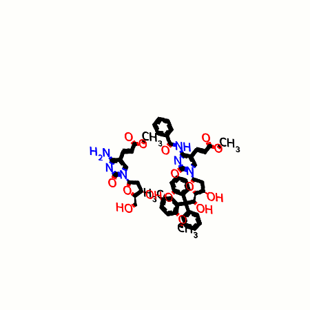 COC(=O)/C=C/c1cn([C@H]2C[C@H](O)[C@@H](C(O)C(c3ccccc3)(c3ccccc3OC)c3ccccc3OC)O2)c(=O)nc1NC(=O)c1ccccc1.COC(=O)/C=C/c1cn([C@H]2C[C@H](O)[C@@H](CO)O2)c(=O)nc1N